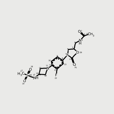 CC(=O)NCC1CN(c2ccc(N3CC(NS(C)(=O)=O)C3)c(F)c2)C(=O)O1